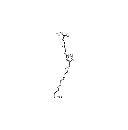 NC(=O)CCOCCn1cc(COCCOCCOCCC=O)nn1